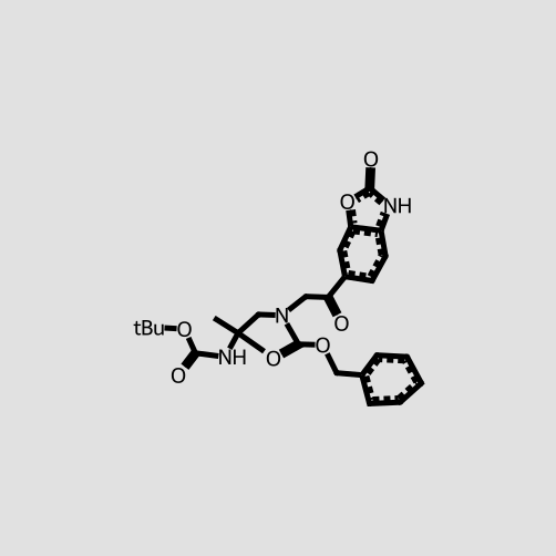 CC(C)(CN(CC(=O)c1ccc2[nH]c(=O)oc2c1)C(=O)OCc1ccccc1)NC(=O)OC(C)(C)C